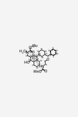 COC(=O)NCCO[C@@H](c1ccccc1)C1CCCN(C(=O)NC(CN(C)C(=O)OC(C)(C)C)[C@H](O)C2CCCCC2)C1